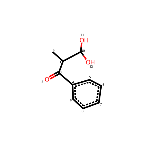 CC(C(=O)c1ccccc1)C(O)O